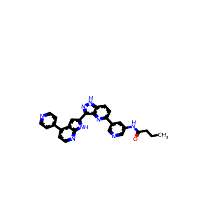 CCCC(=O)Nc1cncc(-c2ccc3[nH]nc(-c4cc5c(-c6ccncc6)ccnc5[nH]4)c3n2)c1